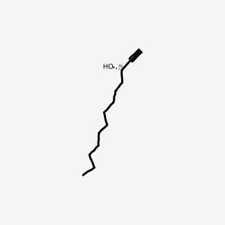 C#C[C@@H](O)CCCCCCCCCC